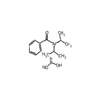 CC(C)N(C(=O)c1ccccc1)C(C)C.OBO